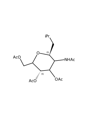 CC(=O)NC1C(OC(C)=O)[C@H](OC(C)=O)C(COC(C)=O)O[C@H]1CC(C)C